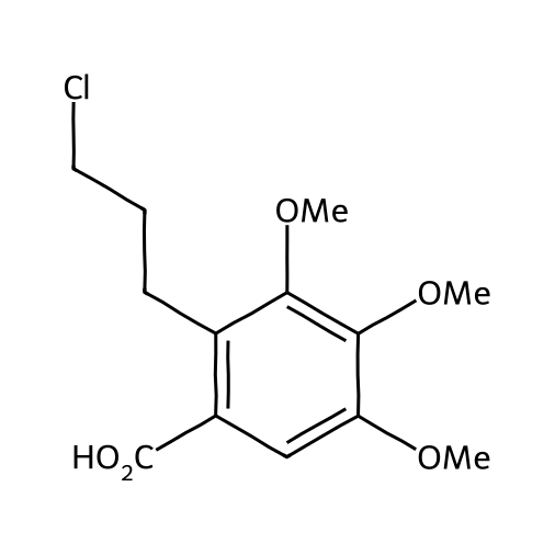 COc1cc(C(=O)O)c(CCCCl)c(OC)c1OC